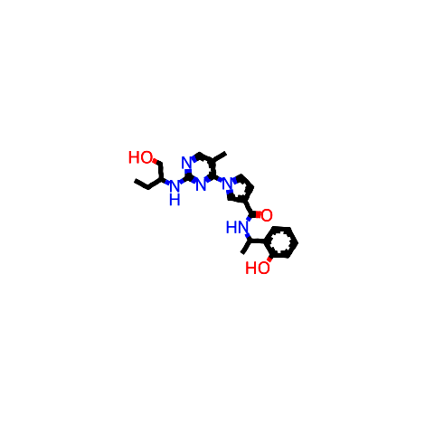 CCC(CO)Nc1ncc(C)c(-n2ccc(C(=O)NC(C)c3ccccc3O)c2)n1